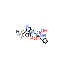 CC(C)(C)c1cncc(CNC[C@@H](O)C(Cc2ccccc2)NC(=O)O)c1